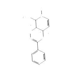 CCCCCCC1[C@@H]2ON=C(c3ccccc3)O[C@@H]2C=CN1C(C)=O